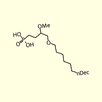 CCCCCCCCCCCCCCCCOCC(CCP(=O)(O)O)OC